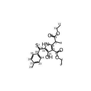 CCOC(=O)c1c(C(C)C(=O)OCC)[nH]c(C(=S)c2ccc(C)cc2)c1O